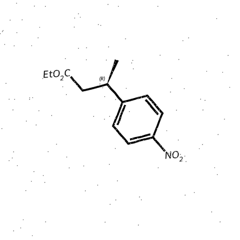 CCOC(=O)C[C@@H](C)c1ccc([N+](=O)[O-])cc1